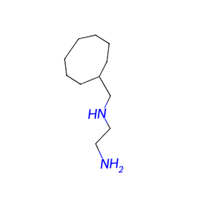 NCCNCC1CCCCCCC1